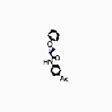 CC(=O)c1ccc(NC(=O)/C=C/Oc2ccccc2)cc1